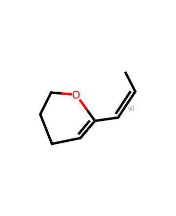 C/C=C\C1=CCCCO1